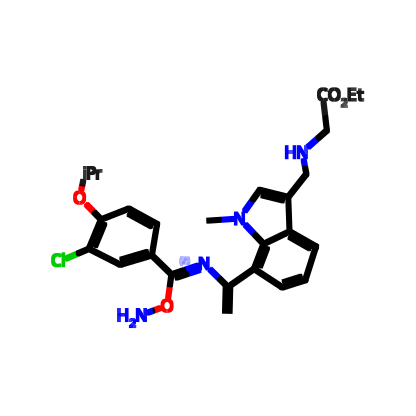 C=C(/N=C(\ON)c1ccc(OC(C)C)c(Cl)c1)c1cccc2c(CNCC(=O)OCC)cn(C)c12